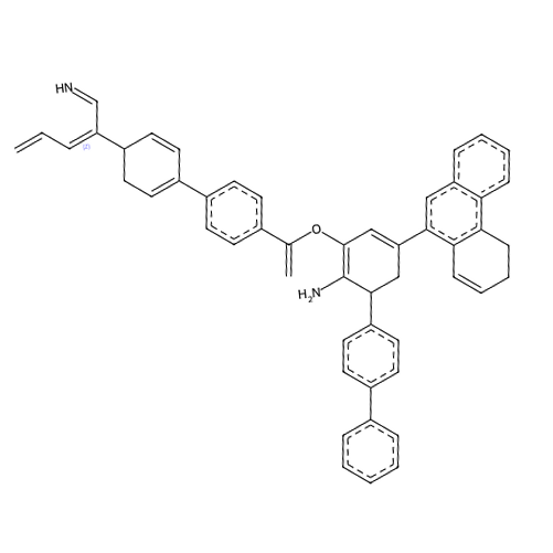 C=C/C=C(\C=N)C1C=CC(c2ccc(C(=C)OC3=C(N)C(c4ccc(-c5ccccc5)cc4)CC(c4cc5ccccc5c5c4C=CCC5)=C3)cc2)=CC1